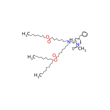 C=C(/C=C\N(CCCN(CCCCCCCC(=O)OCCCCCCCC)CCCCCCCC(=O)OC(CCCCCCCC)CCCCCCCC)C(C)=C1CC1)Cc1ccccc1